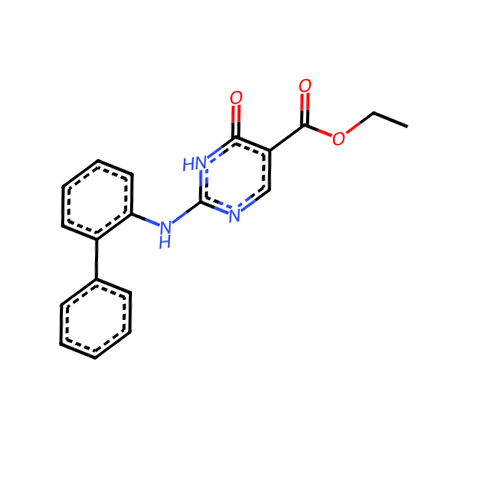 CCOC(=O)c1cnc(Nc2ccccc2-c2ccccc2)[nH]c1=O